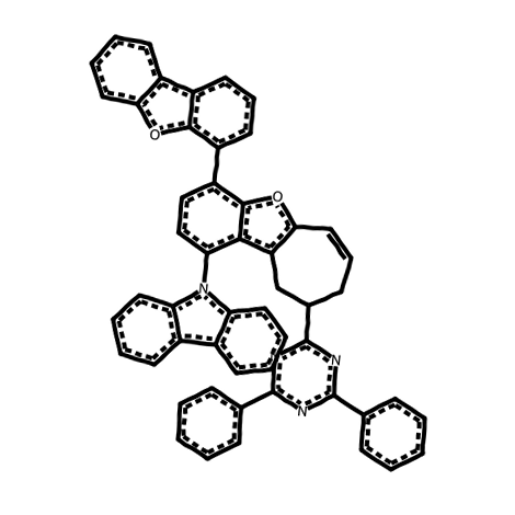 C1=Cc2oc3c(-c4cccc5c4oc4ccccc45)ccc(-n4c5ccccc5c5ccccc54)c3c2CC(c2nc(-c3ccccc3)nc(-c3ccccc3)n2)C1